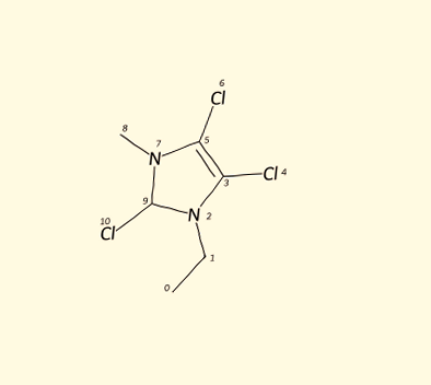 CCN1C(Cl)=C(Cl)N(C)C1Cl